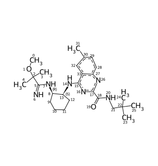 COC(C)(C)C(=N)N[C@@H]1CCCC[C@@H]1Nc1nc(C(=O)NCC(C)(C)C)nc2ccc(C)cc12